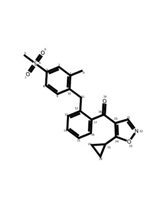 Cc1cc(S(C)(=O)=O)ccc1Cc1ccccc1C(=O)c1cnoc1C1CC1